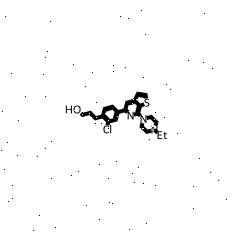 CCN1CCN(c2nc(-c3ccc(CCCO)c(Cl)c3)cc3ccsc23)CC1